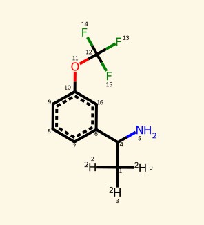 [2H]C([2H])([2H])C(N)c1cccc(OC(F)(F)F)c1